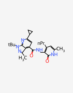 CCCc1cc(C)[nH]c(=O)c1CNC(=O)c1cc(C2CC2)nc2c1c(C)nn2C(C)(C)C